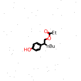 CCCCC(COC(=O)CC)c1ccc(O)cc1